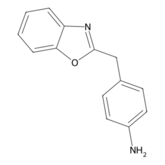 Nc1ccc(Cc2nc3ccccc3o2)cc1